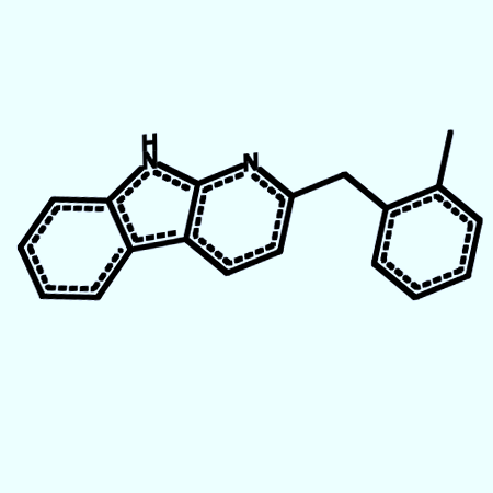 Cc1ccccc1Cc1ccc2c(n1)[nH]c1ccccc12